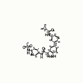 CS(=O)(=O)Nc1ccc(NC(=O)c2n[nH]c3ccc(-c4cncc(NC(=O)C5CC5)c4)cc23)cn1